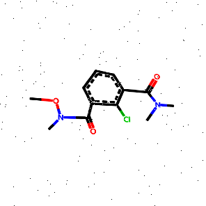 CON(C)C(=O)c1cccc(C(=O)N(C)C)c1Cl